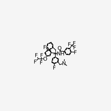 CN(C)Cc1cc([C@@](Cc2ccccc2)(NC(=O)c2ccc(F)c(C(F)(F)F)c2)c2cc(F)cc(OC(F)(F)C(F)F)c2)ccc1F